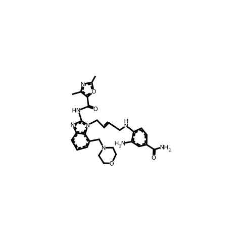 Cc1nc(C)c(C(=O)Nc2nc3cccc(CN4CCOCC4)c3n2C/C=C/CNc2ccc(C(N)=O)cc2N)o1